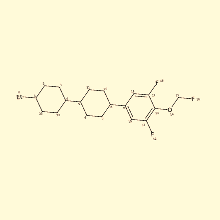 CCC1CCC(C2CCC(c3cc(F)c(OCF)c(F)c3)CC2)CC1